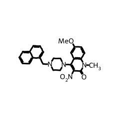 COc1ccc2c(c1)c(N1CCN(Cc3cccc4ccccc34)CC1)c([N+](=O)[O-])c(=O)n2C